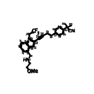 COCCNCc1cccc2c1cc(C#CCCc1ccc(C(C)(C)C#N)nc1)n2CC(F)(F)F